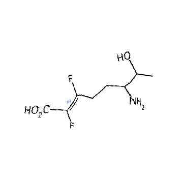 CC(O)C(N)CC/C(F)=C(\F)C(=O)O